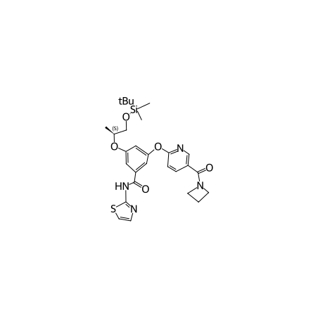 C[C@@H](CO[Si](C)(C)C(C)(C)C)Oc1cc(Oc2ccc(C(=O)N3CCC3)cn2)cc(C(=O)Nc2nccs2)c1